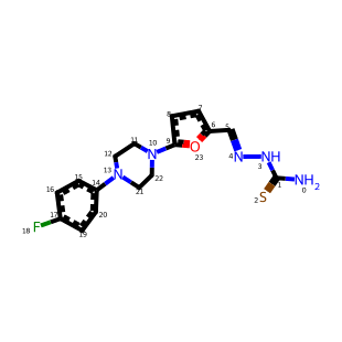 NC(=S)NN=Cc1ccc(N2CCN(c3ccc(F)cc3)CC2)o1